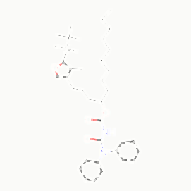 CCCCCCCCCC(CCCc1coc([Si](C)(C)C(C)(C)C)c1C)OC(=O)NC(=O)N(c1ccccc1)c1ccccc1